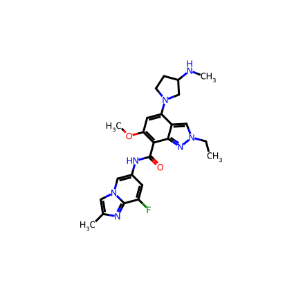 CCn1cc2c(N3CCC(NC)C3)cc(OC)c(C(=O)Nc3cc(F)c4nc(C)cn4c3)c2n1